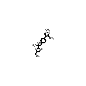 Cn1cc(-c2ccc(CC(C)(O)c3nc(CC(C)(C)C)c[nH]3)cc2)c(N)n1